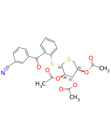 CC(=O)O[C@@H]1[C@@H](OC(C)=O)[C@H](Sc2ccccc2C(=O)c2cccc(C#N)c2)SC[C@H]1OC(C)=O